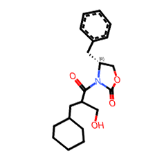 O=C1OC[C@@H](Cc2ccccc2)N1C(=O)C(CO)CC1CCCCC1